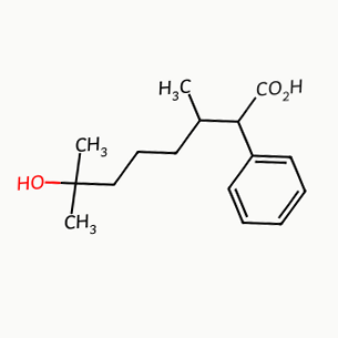 CC(CCCC(C)(C)O)C(C(=O)O)c1ccccc1